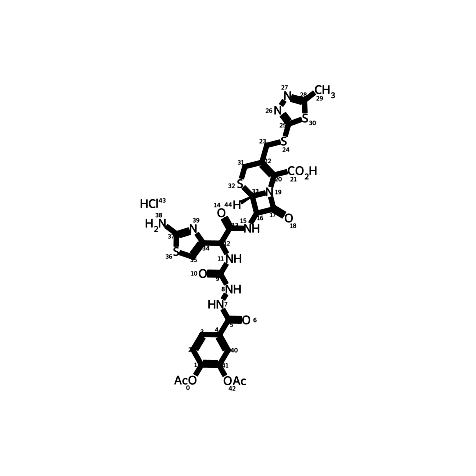 CC(=O)Oc1ccc(C(=O)NNC(=O)NC(C(=O)NC2C(=O)N3C(C(=O)O)=C(CSc4nnc(C)s4)CS[C@@H]23)c2csc(N)n2)cc1OC(C)=O.Cl